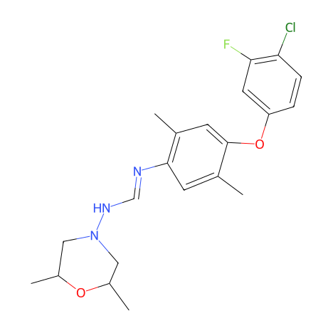 Cc1cc(Oc2ccc(Cl)c(F)c2)c(C)cc1N=CNN1CC(C)OC(C)C1